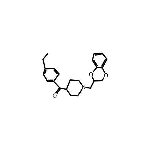 CCc1ccc(C(=O)C2CCN(CC3COc4ccccc4O3)CC2)cc1